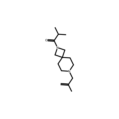 C=C(C)CN1CCC2(CC1)CN(C(=O)C(C)C)C2